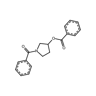 O=C(OC1CCN(C(=O)c2ccccc2)C1)c1ccccc1